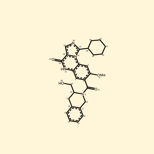 COc1cc2c(cc1C(=O)N1Cc3ccccc3CC1CO)[nH]c(=O)c1cnc(C3CCCCC3)n12